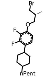 CCCCCC1CCC(c2ccc(OC[C@@H](C)CBr)c(F)c2F)CC1